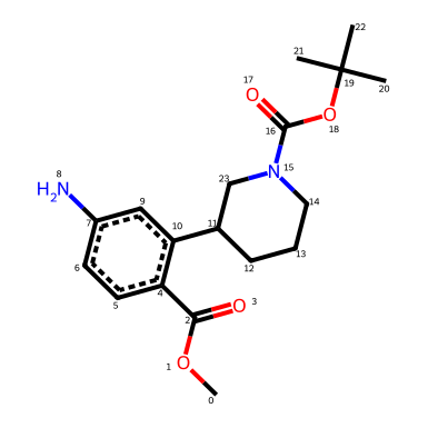 COC(=O)c1ccc(N)cc1C1CCCN(C(=O)OC(C)(C)C)C1